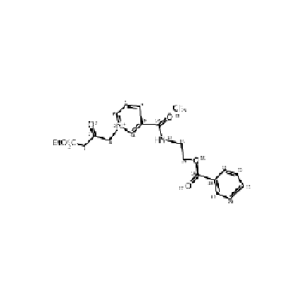 CCOC(=O)CC(=O)C[n+]1cccc(C(=O)NCCOC(=O)c2ccccc2)c1.[Cl-]